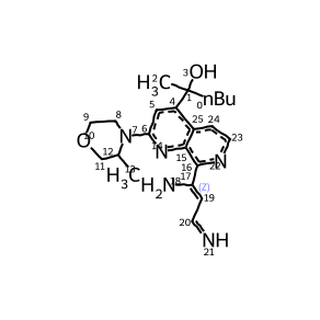 CCCCC(C)(O)c1cc(N2CCOCC2C)nc2c(/C(N)=C/C=N)nccc12